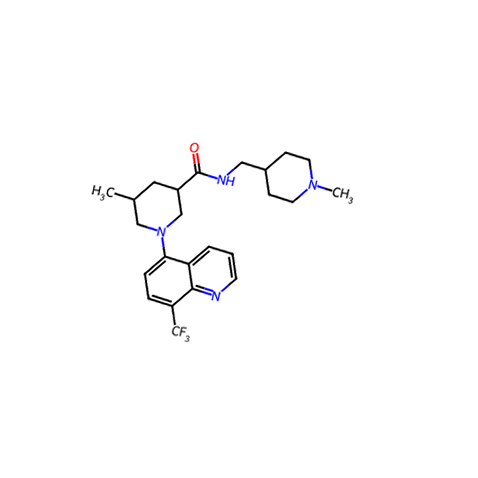 CC1CC(C(=O)NCC2CCN(C)CC2)CN(c2ccc(C(F)(F)F)c3ncccc23)C1